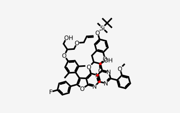 C=CCOCC(CO)Oc1cc(C)c(-c2c(-c3ccc(F)cc3)oc3ncnc(OC(Cc4cc(O[Si](C)(C)C(C)(C)C)ccc4OCc4ccnc(-c5ccccc5OC)n4)C(=O)O)c23)c(C)c1